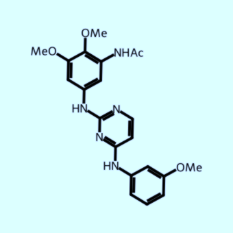 COc1cccc(Nc2ccnc(Nc3cc(NC(C)=O)c(OC)c(OC)c3)n2)c1